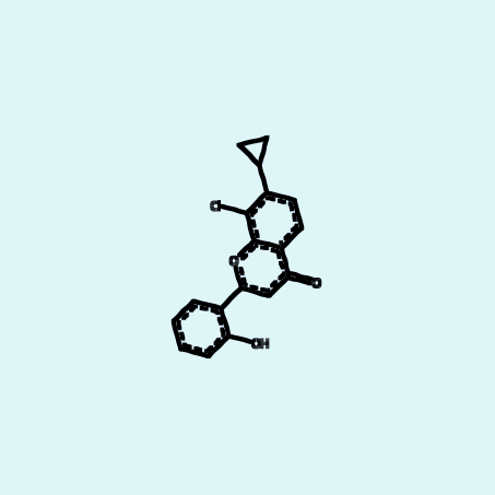 O=c1cc(-c2ccccc2O)oc2c(Cl)c(C3CC3)ccc12